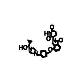 O=C1CCC(N2Cc3c(OCc4ccc(CN5CCN(C(O)C6CC6)CC5)cc4)cccc3C2=O)C(=O)N1